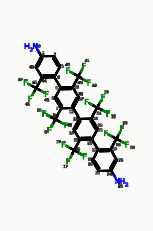 Nc1ccc(-c2cc(C(F)(F)F)c(-c3cc(C(F)(F)F)c(-c4ccc(N)cc4C(F)(F)F)cc3C(F)(F)F)cc2C(F)(F)F)c(C(F)(F)F)c1